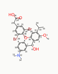 COc1cc(C(O)c2cccc(N(C)C)c2)c(Oc2c(Br)cc(CC(=O)O)cc2Br)cc1C(C)C